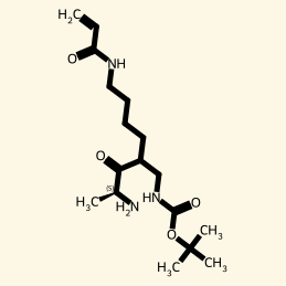 C=CC(=O)NCCCCC(CNC(=O)OC(C)(C)C)C(=O)[C@H](C)N